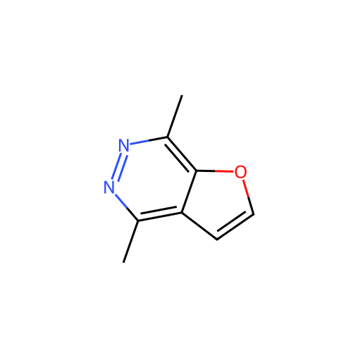 Cc1nnc(C)c2occc12